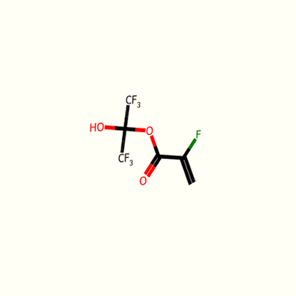 C=C(F)C(=O)OC(O)(C(F)(F)F)C(F)(F)F